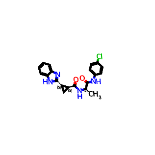 C[C@H](NC(=O)[C@H]1C[C@@H]1c1nc2ccccc2[nH]1)C(=O)Nc1ccc(Cl)cc1